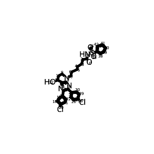 O=C(CCCCCCN1CCC(O)c2nc(-c3ccc(Cl)cc3)c(-c3ccc(Cl)cc3)nc21)NS(=O)(=O)c1ccccc1